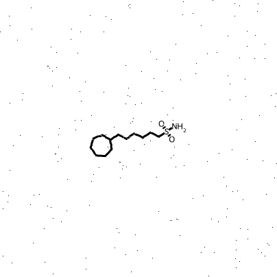 NS(=O)(=O)CCCCCCC1CCCCCC1